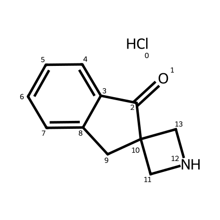 Cl.O=C1c2ccccc2CC12CNC2